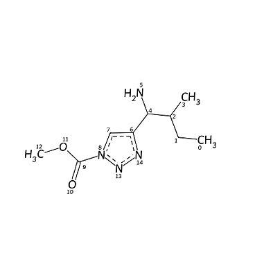 CCC(C)C(N)c1cn(C(=O)OC)nn1